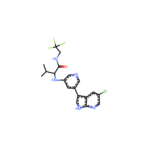 CC(C)C(Nc1cncc(-c2c[nH]c3ncc(Cl)cc23)c1)C(=O)NCC(F)(F)F